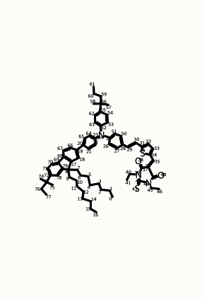 CCCCCCCCC1(CCCCCCCC)c2cc(-c3ccc(N(c4ccc(/C=C/c5ccc(C=C6C(=O)N(CC)C(=S)N(CC)C6=O)s5)cc4)c4ccc(C(C)(C)CCC)cc4)cc3)ccc2-c2ccc(C(C)(C)CC)cc21